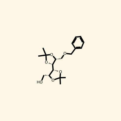 CC1(C)O[C@@H]([C@@H]2OC(C)(C)O[C@@H]2COCc2ccccc2)[C@@H](CO)O1